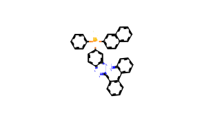 S=P(c1ccccc1)(c1ccc2ccccc2c1)c1ccc2nc3c4ccccc4c4ccccc4n3c2c1